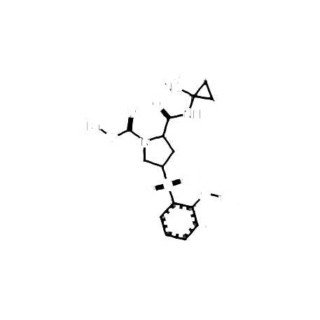 CC(C)(C)OC(=O)N1CC(S(=O)(=O)c2ccccc2OC(F)(F)F)CC1C(=O)NC1(C#N)CC1